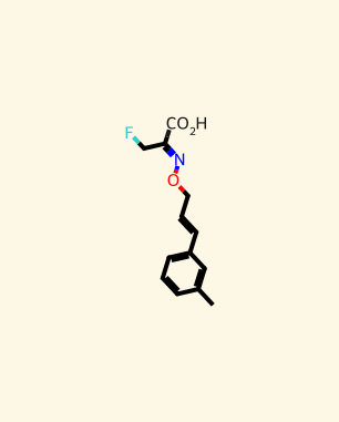 Cc1cccc(/C=C/CON=C(CF)C(=O)O)c1